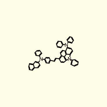 C(=C\c1ccc2c3c1ccc1c(N(c4ccccc4)c4ccccc4)ccc(c13)n2-c1ccccc1)/c1ccc(N(c2ccccc2)c2ccc3ccccc3c2)cc1